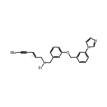 CCN(C/C=C/C#CC(C)(C)C)Cc1cccc(OCc2cccc(-n3ccnc3)c2)c1